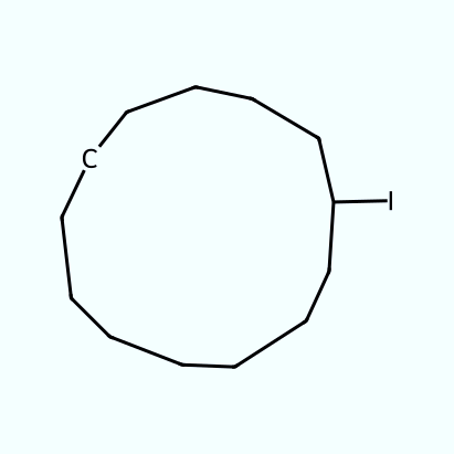 IC1CCCCCCCCCCCC1